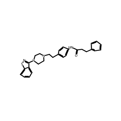 O=C(CCc1ccccc1)Nc1ccc(CCN2CCN(c3nsc4ccccc34)CC2)cc1